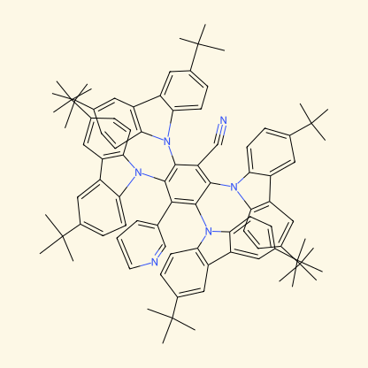 CC(C)(C)c1ccc2c(c1)c1cc(C(C)(C)C)ccc1n2-c1c(C#N)c(-n2c3ccc(C(C)(C)C)cc3c3cc(C(C)(C)C)ccc32)c(-n2c3ccc(C(C)(C)C)cc3c3cc(C(C)(C)C)ccc32)c(-c2cccnc2)c1-n1c2ccc(C(C)(C)C)cc2c2cc(C(C)(C)C)ccc21